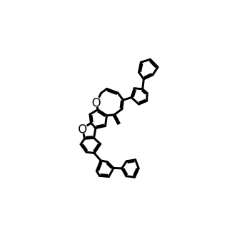 C=C1/C=C(c2cccc(-c3ccccc3)c2)\C=C/COc2cc3oc4ccc(-c5cccc(-c6ccccc6)c5)cc4c3cc21